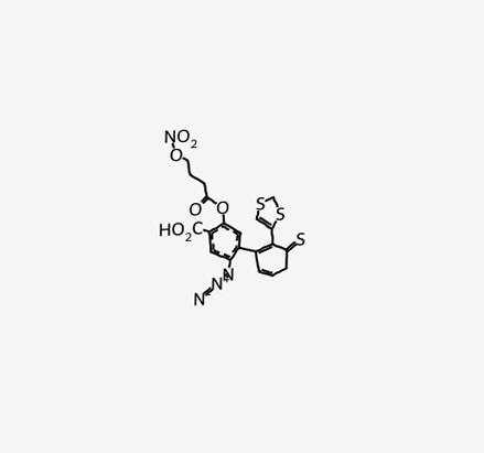 [N-]=[N+]=Nc1cc(C(=O)O)c(OC(=O)CCCO[N+](=O)[O-])cc1C1=C(C2=CSCS2)C(=S)CC=C1